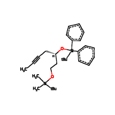 CC#CC[C@@H](CCO[Si](C)(C)C(C)(C)C)O[Si](c1ccccc1)(c1ccccc1)C(C)(C)C